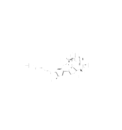 COCCCOc1cc(CCNC(C)(C)C)c(-c2cc(=O)c(C(=O)O)c[nH]2)cc1Cl